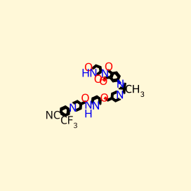 CC1(CN2CCC(COc3ccc(NC(=O)C4CCN(c5ccc(C#N)c(C(F)(F)F)c5)CC4)nc3)CC2)CN(c2ccc3c(c2)C(=O)N(C2CCC(=O)NC2=O)C3=O)C1